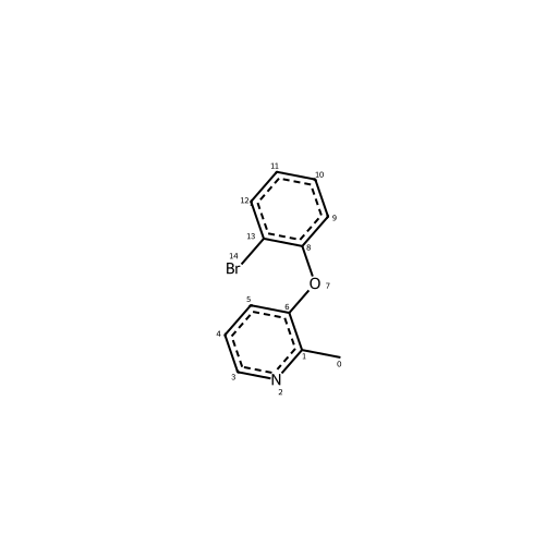 Cc1ncccc1Oc1ccc[c]c1Br